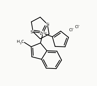 CC1=Cc2ccccc2[CH]1[Zr+2]1([C]2=CC=CC2)=[Si]2CC[Si]=1CC2.[Cl-].[Cl-]